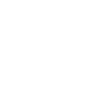 CC1(F)/C=C\CCCCC1